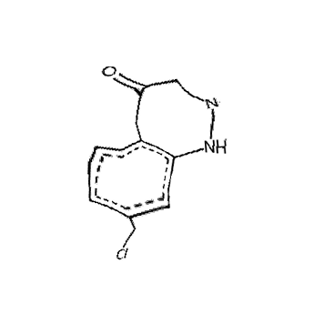 O=C1C[N]Nc2cc(Cl)ccc21